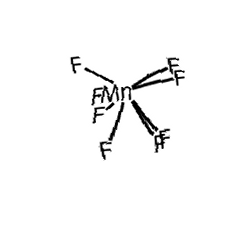 [F][Mn]([F])([F])([F])([F])([F])([F])[F]